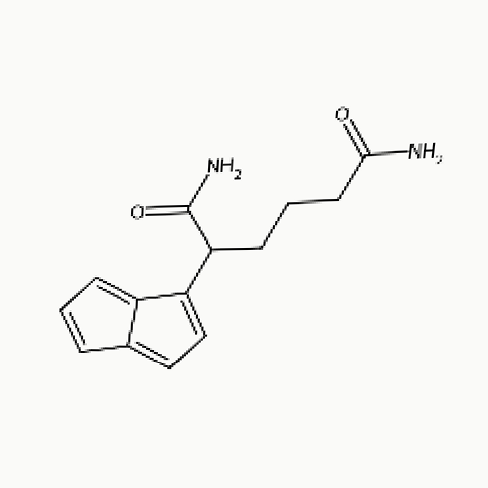 NC(=O)CCCC(C(N)=O)C1=CC=C2C=CC=C21